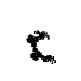 CCCCC(C)(C)OC(=O)OCc1ccc(N(c2ccc(-c3ccc(N(c4ccc(COC(=O)OC(C)(C)CCCC)cc4)c4cccc5ccccc45)cc3)cc2)c2cccc3ccccc23)cc1